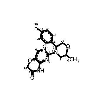 CC1CN(c2ncc3c(n2)NC(=O)CO3)C(c2ccc(F)cc2)CO1